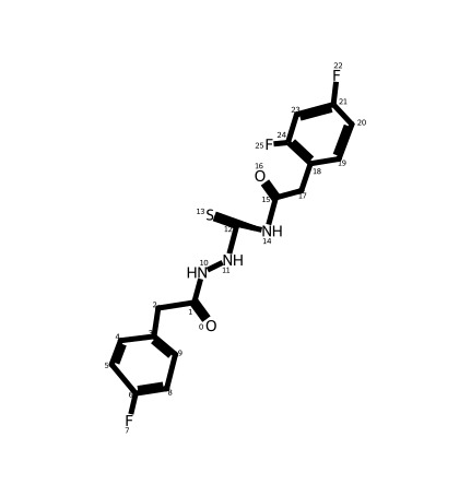 O=C(Cc1ccc(F)cc1)NNC(=S)NC(=O)Cc1ccc(F)cc1F